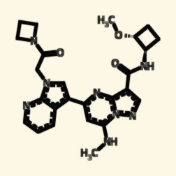 CNc1cc(-c2cn(CC(=O)N3CCC3)c3ncccc23)nc2c(C(=O)N[C@@H]3CC[C@H]3OC)cnn12